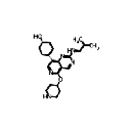 CC(C)CNc1ncc2c(OC3CCNCC3)ncc([C@H]3CC[C@H](O)CC3)c2n1